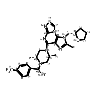 Cc1nc2c(N3C[C@@H](C)N([C@H](c4ccc(C(F)(F)F)cc4)C(C)C)C[C@@H]3C)nc3nncn3c2n1C[C@@H]1CCCO1